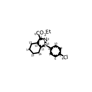 CCOC(=O)c1nn(-c2ccc(Cl)cc2)c2c1CCCC2